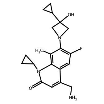 Cc1c(N2CC(O)(C3CC3)C2)c(F)cc2c(CN)cc(=O)n(C3CC3)c12